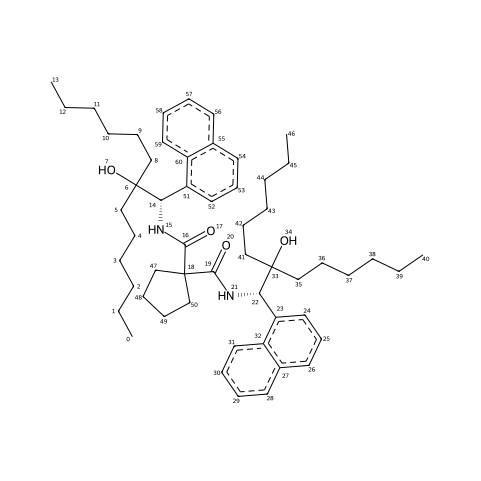 CCCCCCC(O)(CCCCCC)[C@@H](NC(=O)C1(C(=O)N[C@@H](c2cccc3ccccc23)C(O)(CCCCCC)CCCCCC)CCCC1)c1cccc2ccccc12